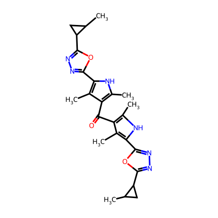 Cc1[nH]c(-c2nnc(C3CC3C)o2)c(C)c1C(=O)c1c(C)[nH]c(-c2nnc(C3CC3C)o2)c1C